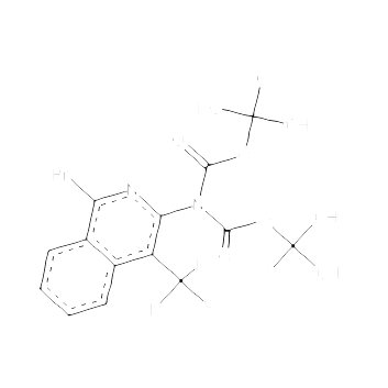 CC(C)(C)OC(=O)N(C(=O)OC(C)(C)C)c1nc(Br)c2ccccc2c1C(F)(F)F